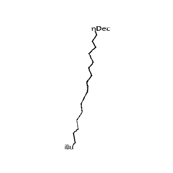 CCCCCCCCCCCCCCCCCCCCCCCCCC(C)CC